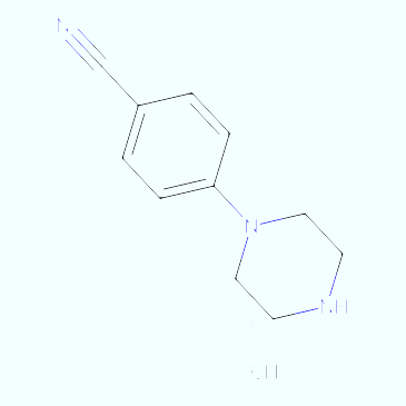 C[C@@H]1CN(c2ccc(C#N)cc2)CCN1